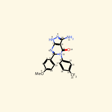 COc1ccc(-c2nc3[nH]nc(N)c3c(=O)n2-c2ccc(C(F)(F)F)cc2)cc1